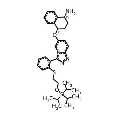 CC(C)[Si](OCCSc1ccccc1-c1nnc2ccc(O[C@@H]3CC[C@H](N)c4ccccc43)cn12)(C(C)C)C(C)C